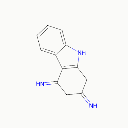 N=C1CC(=N)c2c([nH]c3ccccc23)C1